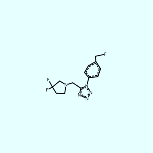 FCc1ccc(-n2nnnc2CN2CCC(F)(F)C2)cc1